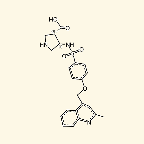 Cc1cc(COc2ccc(S(=O)(=O)N[C@@H]3CNC[C@@H]3C(=O)O)cc2)c2ccccc2n1